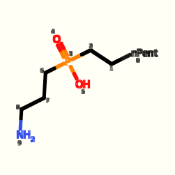 CCCCCCCP(=O)(O)CCCN